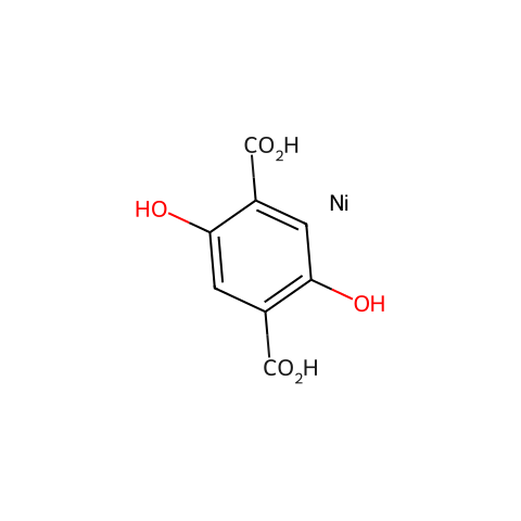 O=C(O)c1cc(O)c(C(=O)O)cc1O.[Ni]